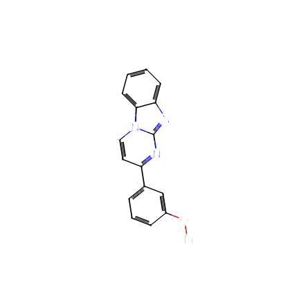 BrOc1cccc(-c2ccn3c(n2)nc2ccccc23)c1